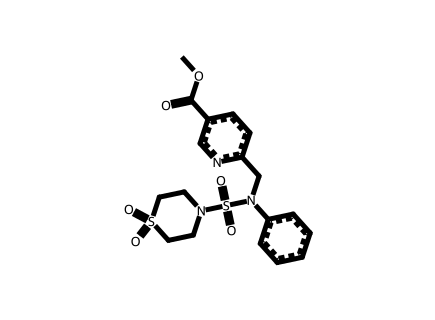 COC(=O)c1ccc(CN(c2ccccc2)S(=O)(=O)N2CCS(=O)(=O)CC2)nc1